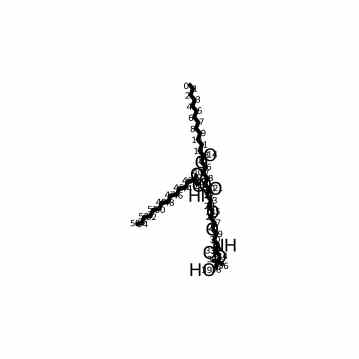 CCCCCCCCCCCCCC(=O)OCC(COC(=O)NCCOCCOCCNC(=O)OC(C)(C)CO)OC(=O)CCCCCCCCCCCCC